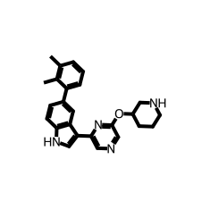 Cc1cccc(-c2ccc3[nH]cc(-c4cncc(OC5CCCNC5)n4)c3c2)c1C